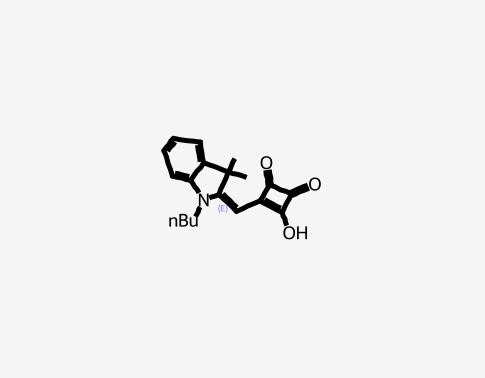 CCCCN1/C(=C/c2c(O)c(=O)c2=O)C(C)(C)c2ccccc21